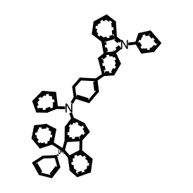 C1=CCC([C@@]2(c3ccccc3)c3ccccc3-c3ccc(N(C4=CC=C(c5ccc6c(c5)c5ccccc5n6-c5ccccc5)CC4)c4ccccc4)cc32)C=C1